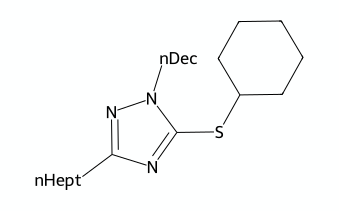 CCCCCCCCCCn1nc(CCCCCCC)nc1SC1CCCCC1